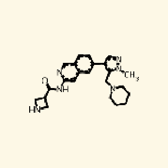 Cn1ncc(-c2ccc3cnc(NC(=O)C4CNC4)cc3c2)c1CN1CCCCC1